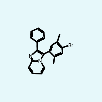 Cc1cc(-c2c(-c3ccccc3)nc3ccccn23)c(C)cc1Br